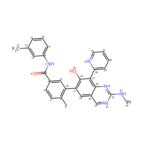 Cc1ccc(C(=O)Nc2cccc(C(F)(F)F)c2)cc1-c1cc2cnc(NC(C)C)nc2c(-c2ccccn2)c1O